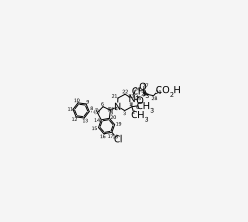 CC1(C)CN([C@@H]2C[C@@H](c3ccccc3)c3ccc(Cl)cc32)CC[N+]1(C)OC(=O)CC(=O)O